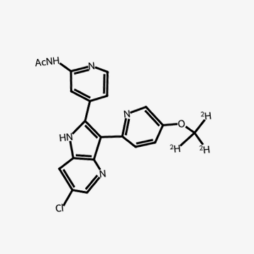 [2H]C([2H])([2H])Oc1ccc(-c2c(-c3ccnc(NC(C)=O)c3)[nH]c3cc(Cl)cnc23)nc1